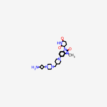 Cn1c(=O)n(C2CCC(=O)NC2=O)c2ccc(N3CCC(CN4CCN(C5CC(N)C5)CC4)CC3)cc21